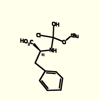 CC(C)(C)OC(O)(Cl)N[C@@H](Cc1ccccc1)C(=O)O